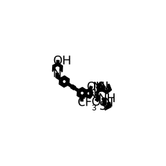 O=C(Nc1nccs1)C(c1ncn2c1CCC2)N1Cc2c(cc(C#Cc3ccc(CN4CCC(O)CC4)cc3)cc2C(F)(F)F)C1O